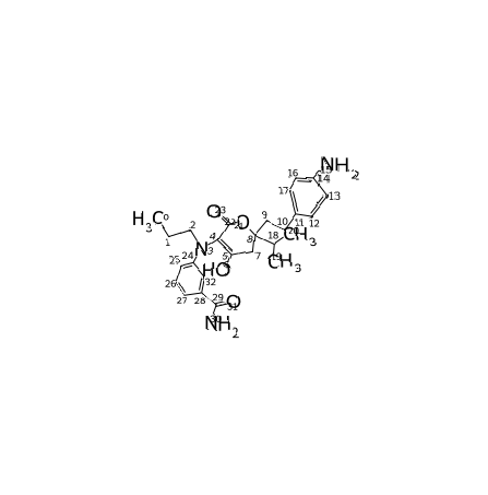 CCCN(C1=C(O)CC(CCc2ccc(N)cc2)(C(C)C)OC1=O)c1cccc(C(N)=O)c1